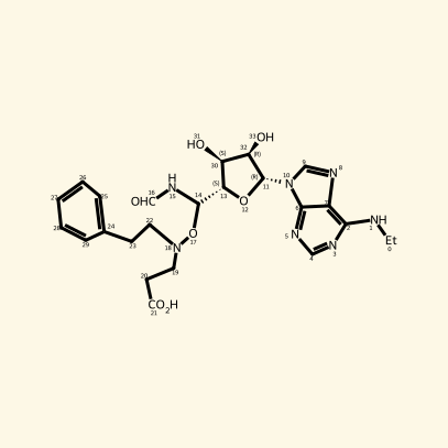 CCNc1ncnc2c1ncn2[C@@H]1O[C@H](C(NC=O)ON(CCC(=O)O)CCc2ccccc2)[C@@H](O)[C@H]1O